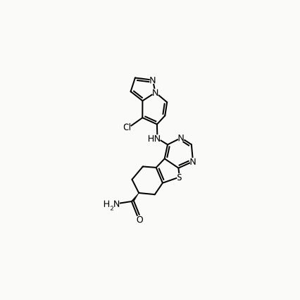 NC(=O)[C@H]1CCc2c(sc3ncnc(Nc4ccn5nccc5c4Cl)c23)C1